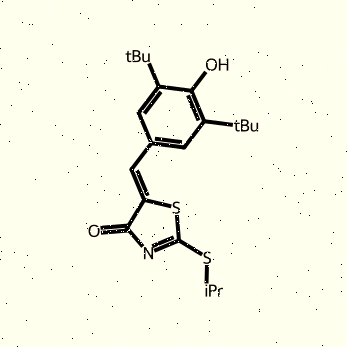 CC(C)SC1=NC(=O)/C(=C/c2cc(C(C)(C)C)c(O)c(C(C)(C)C)c2)S1